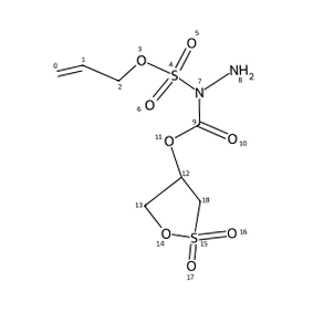 C=CCOS(=O)(=O)N(N)C(=O)OC1COS(=O)(=O)C1